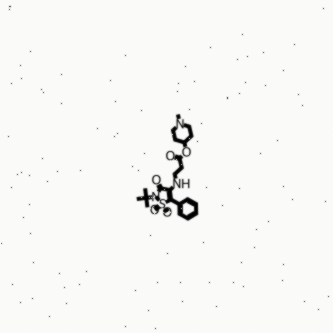 CN1CCC(OC(=O)CCNC2=C(c3ccccc3)S(=O)(=O)N(C(C)(C)C)C2=O)CC1